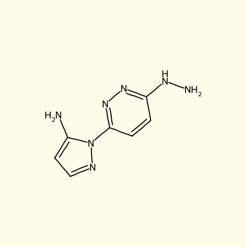 NNc1ccc(-n2nccc2N)nn1